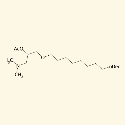 CCCCCCCCCCCCCCCCCCOCC(CN(C)C)OC(C)=O